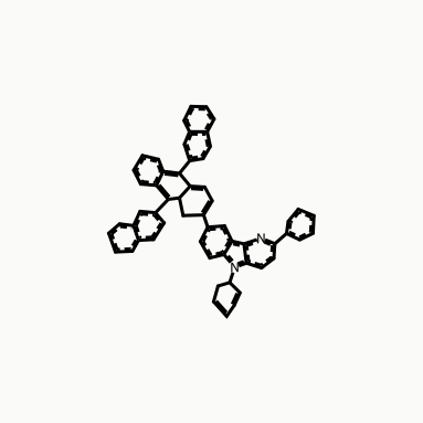 C1=CCC(n2c3ccc(C4=CC=C5C(c6ccc7ccccc7c6)=c6ccccc6=C(c6ccc7ccccc7c6)C5C4)cc3c3nc(-c4ccccc4)ccc32)C=C1